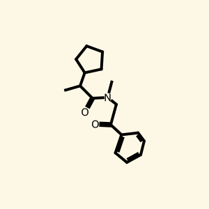 CC(C(=O)N(C)CC(=O)c1ccccc1)C1CCCC1